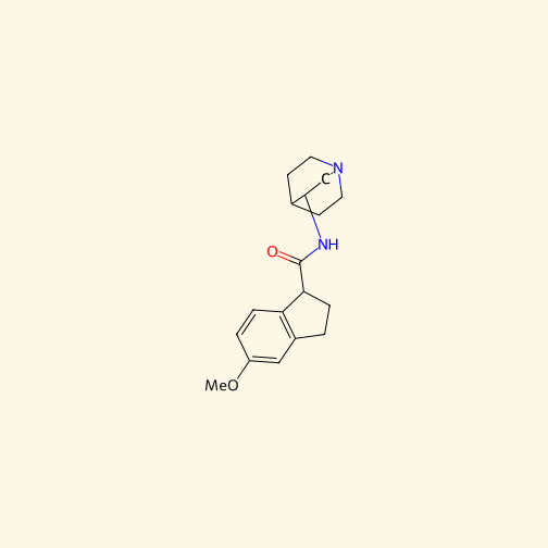 COc1ccc2c(c1)CCC2C(=O)NC1CN2CCC1CC2